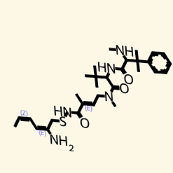 C/C=C\C=C(\N)CSNC(=O)/C(C)=C/CN(C)C(=O)C(NC(=O)C(NC)C(C)(C)c1ccccc1)C(C)(C)C